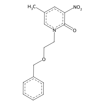 Cc1cc([N+](=O)[O-])c(=O)n(CCOCc2ccccc2)c1